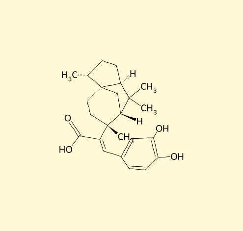 C[C@@H]1CC[C@H]2C(C)(C)[C@H]3C[C@@]12CC[C@@]3(C)/C(=C\c1ccc(O)c(O)c1)C(=O)O